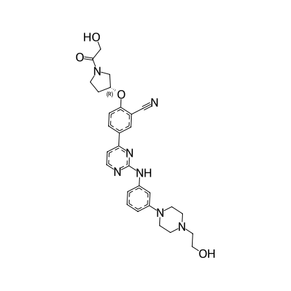 N#Cc1cc(-c2ccnc(Nc3cccc(N4CCN(CCO)CC4)c3)n2)ccc1O[C@@H]1CCN(C(=O)CO)C1